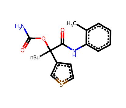 CCCCC(OC(N)=O)(C(=O)Nc1ccccc1C)c1ccsc1